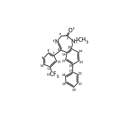 CN1C(=O)CN=C(c2cccc(C(F)(F)F)c2)c2cc(-c3ccccc3)ccc21